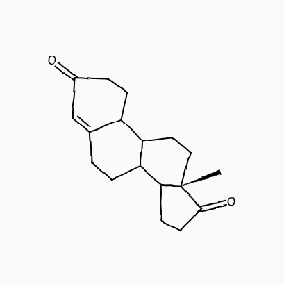 C[C@]12CCC3C4CCC(=O)C=C4CCC3C1CCC2=O